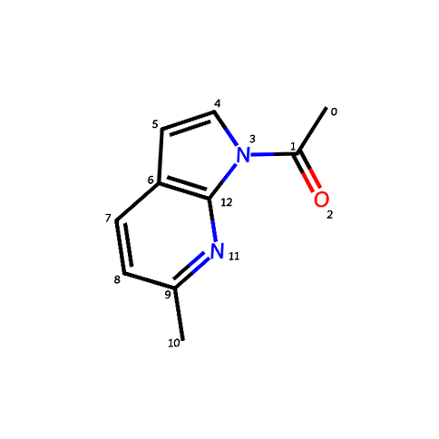 CC(=O)n1ccc2ccc(C)nc21